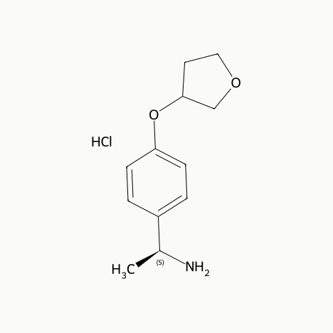 C[C@H](N)c1ccc(OC2CCOC2)cc1.Cl